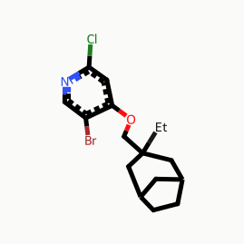 CCC1(COc2cc(Cl)ncc2Br)CC2CCC(C2)C1